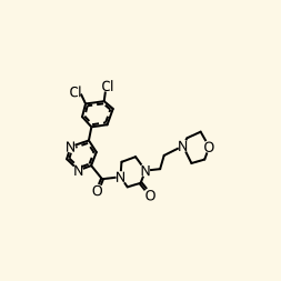 O=C1CN(C(=O)c2cc(-c3ccc(Cl)c(Cl)c3)ncn2)CCN1CCN1CCOCC1